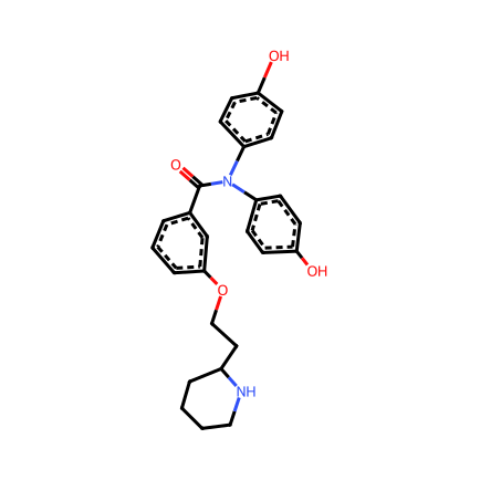 O=C(c1cccc(OCCC2CCCCN2)c1)N(c1ccc(O)cc1)c1ccc(O)cc1